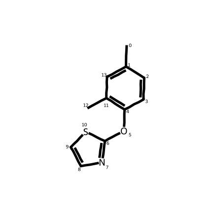 Cc1ccc(Oc2nc[c]s2)c(C)c1